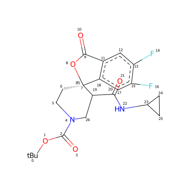 CC(C)(C)OC(=O)N1CC[C@@]2(OC(=O)c3cc(F)c(F)cc32)C(C(=O)NC2CC2)C1